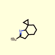 CC(C)(C)C1=NC2C(CCCC23CC3)C1